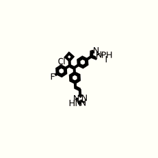 Fc1ccc(/C(=C(\c2ccc(/C=C/c3nn[nH]n3)cc2)c2ccc(-c3cnn(PI)c3)cc2)C2CCC2)c(Cl)c1